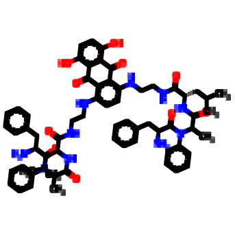 CC(C)C[C@H](NC(=O)C(C)N(C(=O)[C@@H](N)Cc1ccccc1)c1ccccc1)C(=O)NCCNc1ccc(NCCNC(=O)[C@H](CC(C)C)NC(=O)C(C)N(C(=O)[C@@H](N)Cc2ccccc2)c2ccccc2)c2c1C(=O)c1c(O)ccc(O)c1C2=O